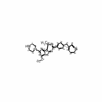 CCOc1nc(N2CCNCC2)nc2c1sc1nc(-c3ccc(Cc4cccnc4)cc3)nc(C)c12